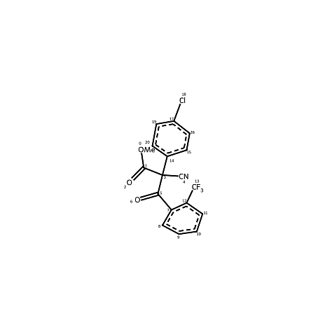 COC(=O)C(C#N)(C(=O)c1ccccc1C(F)(F)F)c1ccc(Cl)cc1